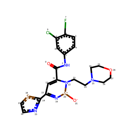 O=C(Nc1ccc(F)c(Cl)c1)C1=CC(c2nccs2)=N[S+]([O-])N1CCN1CCOCC1